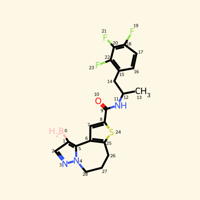 Bc1cnn2c1-c1cc(C(=O)NC(C)Cc3ccc(F)c(F)c3F)sc1CCC2